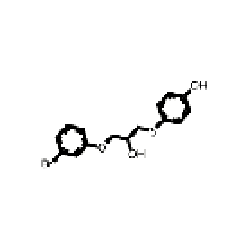 Oc1ccc(SCC(O)COc2cccc(Br)c2)cc1